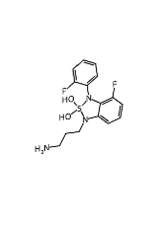 NCCCN1c2cccc(F)c2N(c2ccccc2F)S1(O)O